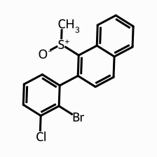 C[S+]([O-])c1c(-c2cccc(Cl)c2Br)ccc2ccccc12